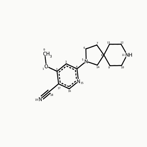 COc1cc(N2CCC3(CCNCC3)C2)ncc1C#N